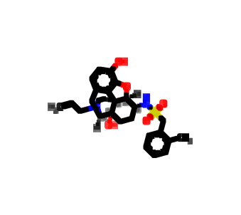 C=CCN1CC[C@]23c4c5ccc(O)c4O[C@H]2[C@H](NS(=O)(=O)Cc2ccccc2C)CC[C@@]3(O)[C@H]1C5